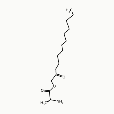 CCCCCCCCCCCC(=O)COC(=O)[C@H](C)N